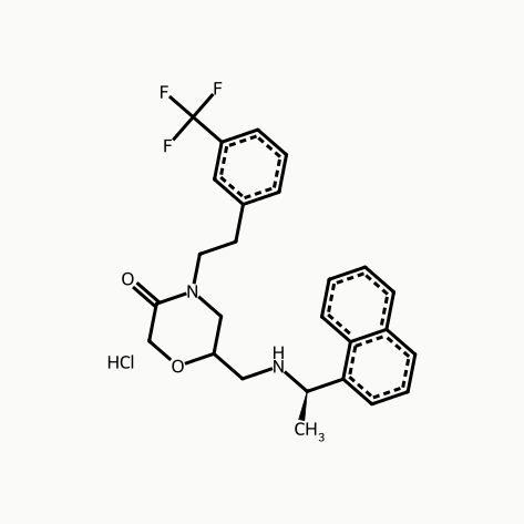 C[C@@H](NCC1CN(CCc2cccc(C(F)(F)F)c2)C(=O)CO1)c1cccc2ccccc12.Cl